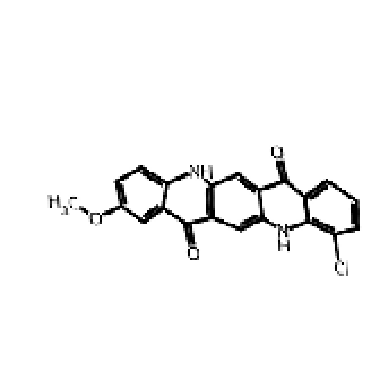 COc1ccc2[nH]c3cc4c(=O)c5cccc(Cl)c5[nH]c4cc3c(=O)c2c1